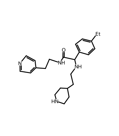 CCc1ccc(C(NCCC2CCNCC2)C(=O)NCCc2ccncc2)cc1